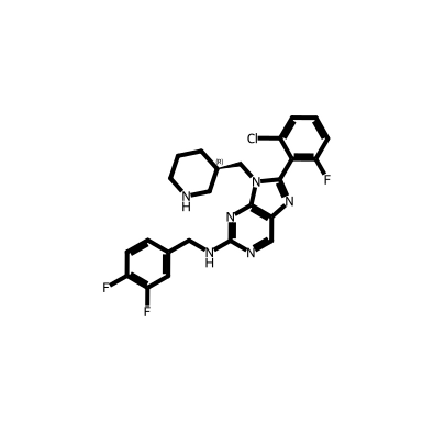 Fc1ccc(CNc2ncc3nc(-c4c(F)cccc4Cl)n(C[C@@H]4CCCNC4)c3n2)cc1F